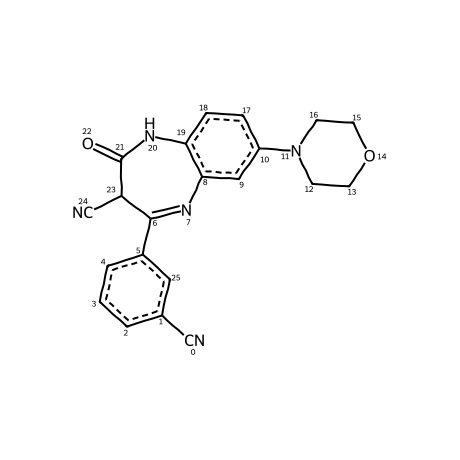 N#Cc1cccc(C2=Nc3cc(N4CCOCC4)ccc3NC(=O)C2C#N)c1